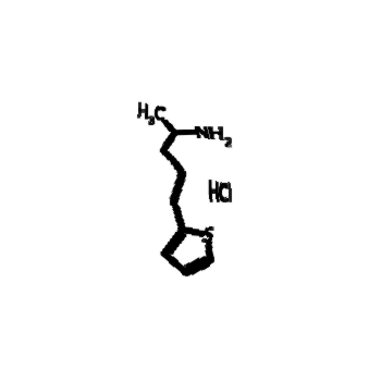 CC(N)CCCc1cccs1.Cl